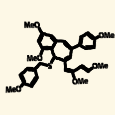 CO/C=C/C(=C\C1=CC(c2ccc(OC)cc2)=Cc2cc(OC)cc(OC)c2C1SCc1ccc(OC)cc1)OC